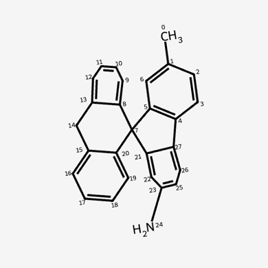 Cc1ccc2c(c1)C1(c3ccccc3Cc3ccccc31)c1cc(N)ccc1-2